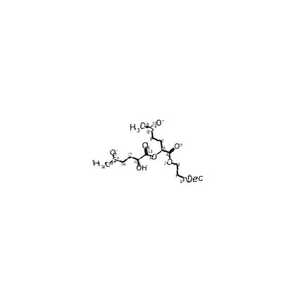 CCCCCCCCCCCCOC(=O)C(CC[S+](C)[O-])OC(=O)C(O)CC[S+](C)[O-]